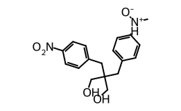 C[NH+]([O-])c1ccc(CC(CO)(CO)Cc2ccc([N+](=O)[O-])cc2)cc1